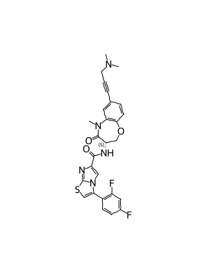 CN(C)CC#Cc1ccc2c(c1)N(C)C(=O)[C@@H](NC(=O)c1cn3c(-c4ccc(F)cc4F)csc3n1)CO2